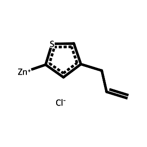 C=CCc1cs[c]([Zn+])c1.[Cl-]